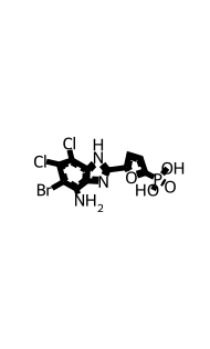 Nc1c(Br)c(Cl)c(Cl)c2[nH]c(-c3ccc(P(=O)(O)O)o3)nc12